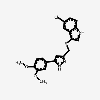 COc1ccc(-c2cc(CSc3c[nH]c4ccc(Cl)cc34)n[nH]2)cc1OC